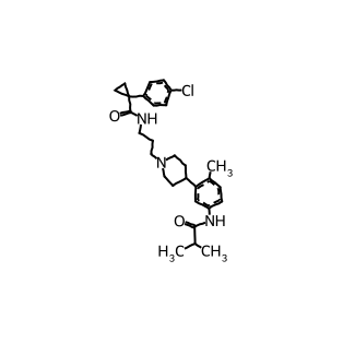 Cc1ccc(NC(=O)C(C)C)cc1C1CCN(CCCNC(=O)C2(c3ccc(Cl)cc3)CC2)CC1